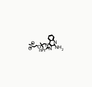 CCCc1nc2c(N)nc3ccccc3c2n1CC(C)(C)OCCS(C)(=O)=O